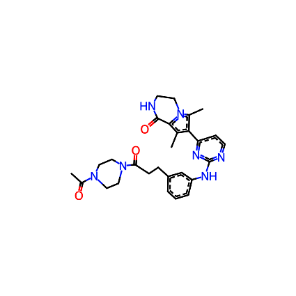 CC(=O)N1CCN(C(=O)CCc2cccc(Nc3nccc(-c4c(C)c5n(c4C)CCNC5=O)n3)c2)CC1